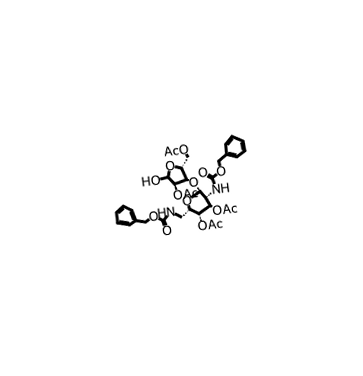 CC(=O)OC[C@H]1OC(O)[C@H](OC(C)=O)[C@@H]1O[C@H]1O[C@@H](CNC(=O)OCc2ccccc2)[C@@H](OC(C)=O)[C@H](OC(C)=O)[C@H]1NC(=O)OCc1ccccc1